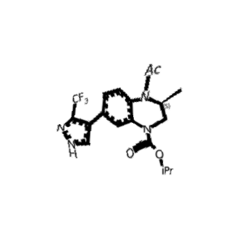 CC(=O)N1c2ccc(-c3c[nH]nc3C(F)(F)F)cc2N(C(=O)OC(C)C)C[C@@H]1C